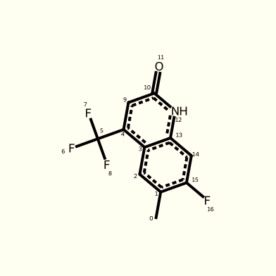 Cc1cc2c(C(F)(F)F)cc(=O)[nH]c2cc1F